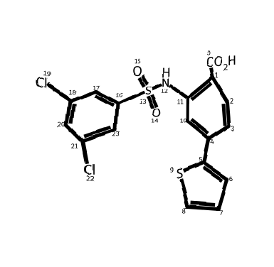 O=C(O)c1ccc(-c2cccs2)cc1NS(=O)(=O)c1cc(Cl)cc(Cl)c1